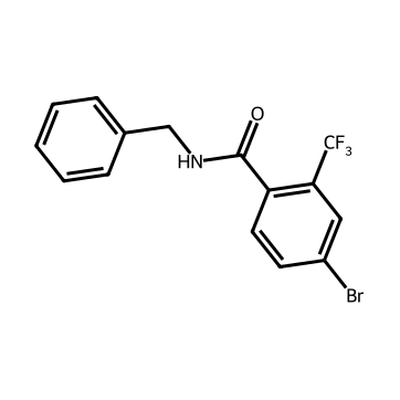 O=C(NCc1ccccc1)c1ccc(Br)cc1C(F)(F)F